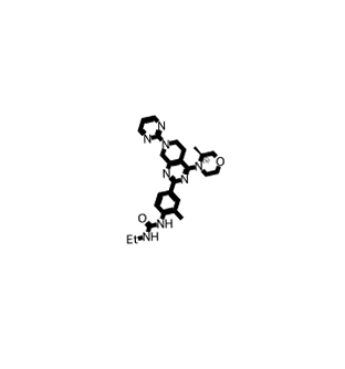 CCNC(=O)Nc1ccc(-c2nc3c(c(N4CCOC[C@@H]4C)n2)CCN(c2ncccn2)C3)cc1C